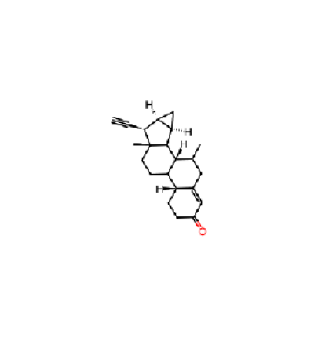 C#C[C@H]1[C@H]2C[C@H]2C2[C@@H]3C(C)CC4=CC(=O)CC[C@@H]4C3CC[C@@]21C